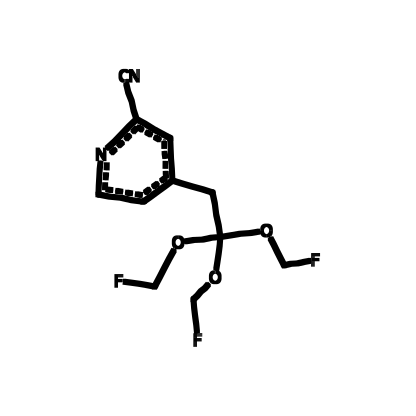 N#Cc1cc(CC(OCF)(OCF)OCF)ccn1